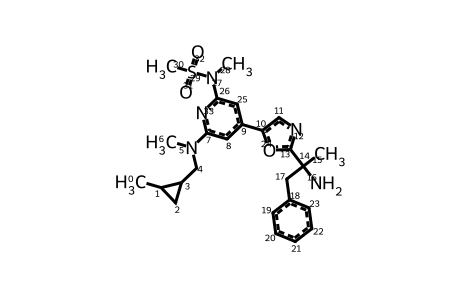 CC1CC1CN(C)c1cc(-c2cnc(C(C)(N)Cc3ccccc3)o2)cc(N(C)S(C)(=O)=O)n1